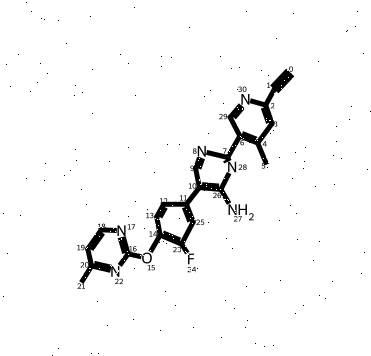 C#Cc1cc(C)c(-c2ncc(-c3ccc(Oc4nccc(C)n4)c(F)c3)c(N)n2)cn1